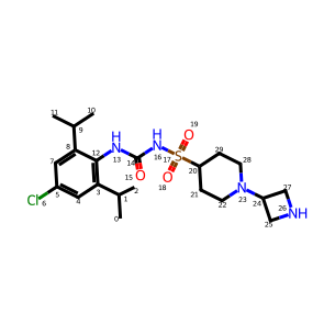 CC(C)c1cc(Cl)cc(C(C)C)c1NC(=O)NS(=O)(=O)C1CCN(C2CNC2)CC1